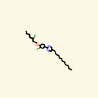 CCCCCCCCCCCc1cnc(-c2ccc(OCCC(F)CCCC)c(F)c2)nc1